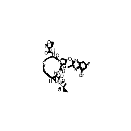 Cc1nc2c(Br)cc(F)cc2nc1O[C@@H]1C[C@H]2C(=O)N[C@]3(C(=O)NS(=O)(=O)C4(C)CC4)C[C@H]3/C=C\CCCCC[C@H](NC(=O)c3ccon3)C(=O)N2C1